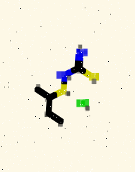 CCC(C)SNC(=N)S.Cl